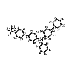 CCC(C)(C)c1ccc(-c2ccc(N(c3ccccc3)c3ccc(-c4ccccc4)cc3)cc2)cc1